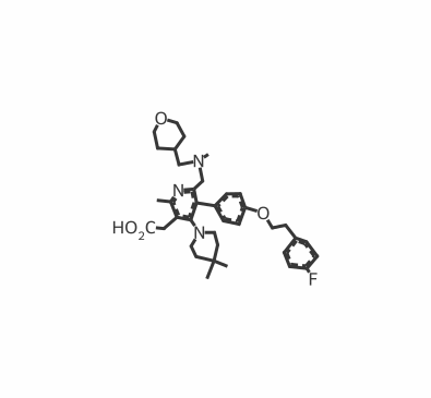 Cc1nc(CN(C)CC2CCOCC2)c(-c2ccc(OCCc3ccc(F)cc3)cc2)c(N2CCC(C)(C)CC2)c1CC(=O)O